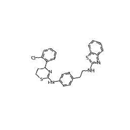 Clc1ccccc1C1CCSC(Nc2ccc(CCNc3nc4ccccc4s3)cc2)=N1